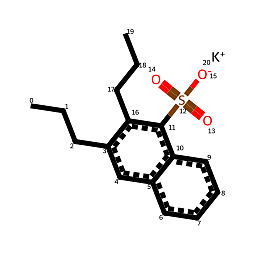 CCCc1cc2ccccc2c(S(=O)(=O)[O-])c1CCC.[K+]